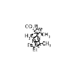 CCC(CC)n1cc(C)c2nc(-c3sc(C(=O)O)nc3C)c(C)nc21